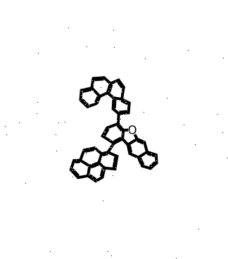 c1ccc2cc3c(cc2c1)oc1c(-c2ccc4ccc5ccc6ccccc6c5c4c2)ccc(-c2ccc4ccc5cccc6ccc2c4c56)c13